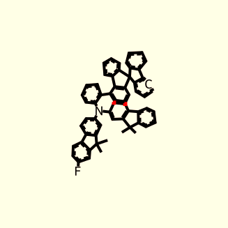 CC1(C)C2=C(CCC(N(c3ccc4c(c3)C(C)(C)c3cc(F)ccc3-4)c3ccccc3C3=C=C=CC4=C3c3ccccc3C43c4ccccc4-c4ccccc43)=C2)c2ccccc21